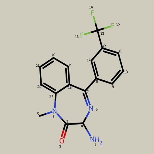 CN1C(=O)C(N)N=C(c2cccc(C(F)(F)F)c2)c2ccccc21